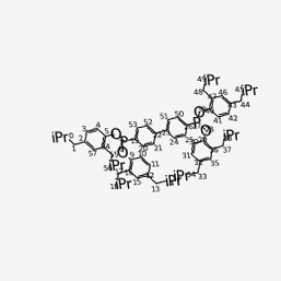 CC(C)Cc1ccc(OP(Oc2ccc(CC(C)C)cc2CC(C)C)c2ccc(-c3ccc(P(Oc4ccc(CC(C)C)cc4CC(C)C)Oc4ccc(CC(C)C)cc4CC(C)C)cc3)cc2)c(CC(C)C)c1